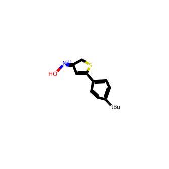 CC(C)(C)c1ccc(C2=C/C(=N\O)CS2)cc1